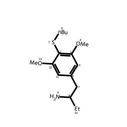 CCCCSc1c(OC)cc(CC(N)CC)cc1OC